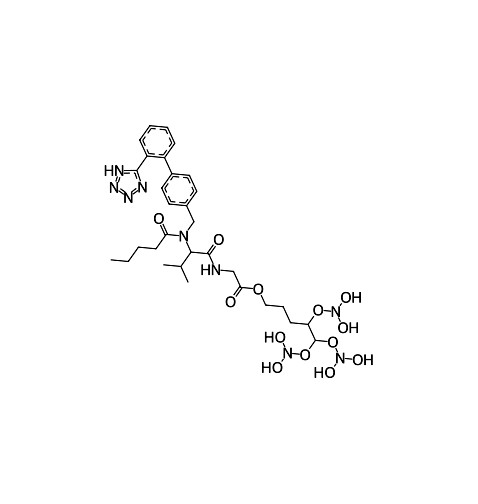 CCCCC(=O)N(Cc1ccc(-c2ccccc2-c2nnn[nH]2)cc1)C(C(=O)NCC(=O)OCCCC(ON(O)O)C(ON(O)O)ON(O)O)C(C)C